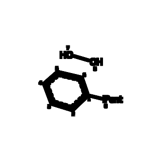 CCCC(C)c1ccccc1.OO